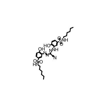 CCCCCCNS(=O)(=O)c1ccc(O)c(N=NC(C#N)=NNc2cc(S(=O)(=O)NCCCCCC)ccc2O)c1